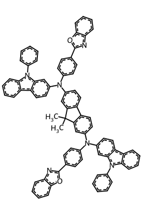 CC1(C)c2cc(N(c3ccc(-c4nc5ccccc5o4)cc3)c3ccc4c5ccccc5n(-c5ccccc5)c4c3)ccc2-c2ccc(N(c3ccc(-c4nc5ccccc5o4)cc3)c3ccc4c5ccccc5n(-c5ccccc5)c4c3)cc21